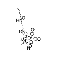 C#CCCCCC(=O)NCCCCCC(=O)N1CCC(COP(OCCC#N)N(C(C)C)C(C)C)(COC(c2ccc(OC)cc2)(c2ccc(OC)cc2)c2ccc(OC)cc2)CC1